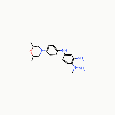 CC1CN(c2ccc(Nc3ccc(N(C)N)c(N)c3)cc2)CC(C)O1